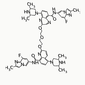 Cc1cn2cc(NC(=O)c3ccc(N4CC(C)NC(C)C4)c4ccc(OCCOCCOc5cnc6c(C(=O)Nc7cc(F)c8nc(C)cn8c7)ccc(N7CC(C)NC(C)C7)c6n5)nc34)cc(F)c2n1